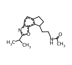 CC(=O)NCCC1CCc2ccc3nc(C(C)C)oc3c21